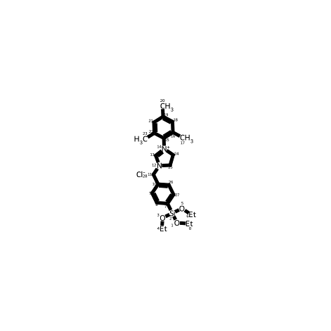 CCO[Si](OCC)(OCC)c1ccc(CN2C=[N+](c3c(C)cc(C)cc3C)CC2)cc1.[Cl-]